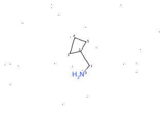 NCC1CCC1